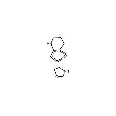 C1COCN1.c1ccc2c(c1)CCCN2